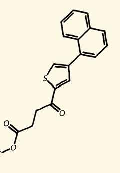 COC(=O)CCC(=O)c1cc(-c2cccc3ccccc23)cs1